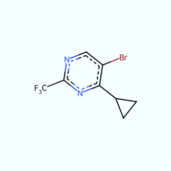 FC(F)(F)c1ncc(Br)c(C2CC2)n1